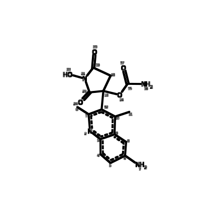 Cc1nc2ccc(N)cc2c(C)c1C1(OC(N)=O)CC(=O)N(O)C1=O